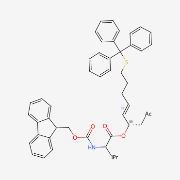 CC(=O)C[C@@H](/C=C/CCCSC(c1ccccc1)(c1ccccc1)c1ccccc1)OC(=O)C(NC(=O)OCC1c2ccccc2-c2ccccc21)C(C)C